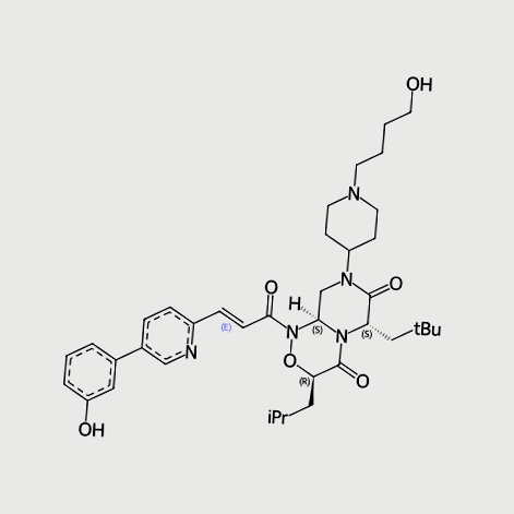 CC(C)C[C@H]1ON(C(=O)/C=C/c2ccc(-c3cccc(O)c3)cn2)[C@H]2CN(C3CCN(CCCCO)CC3)C(=O)[C@H](CC(C)(C)C)N2C1=O